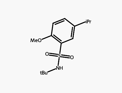 COc1ccc(C(C)C)cc1S(=O)(=O)NC(C)(C)C